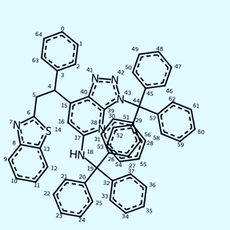 c1ccc(C(Cc2nc3ccccc3s2)c2cc(NC(c3ccccc3)(c3ccccc3)c3ccccc3)nc3c2nnn3C(c2ccccc2)(c2ccccc2)c2ccccc2)cc1